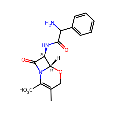 CC1=C(C(=O)O)N2C(=O)[C@@H](NC(=O)C(N)c3ccccc3)[C@@H]2OC1